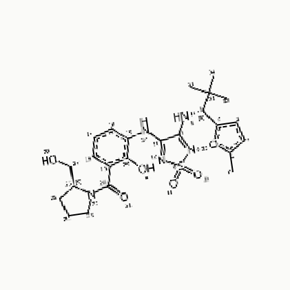 Cc1ccc([C@H](NC2=NS(=O)(=O)N=C2Nc2cccc(C(=O)N3CCC[C@H]3CO)c2O)C(C)(C)C)o1